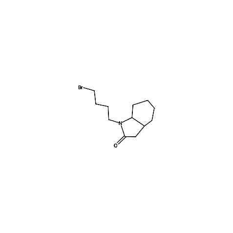 O=C1CC2CCCCC2N1CCCCBr